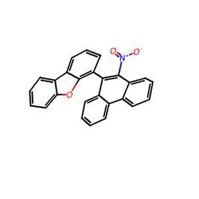 O=[N+]([O-])c1c(-c2cccc3c2oc2ccccc23)c2ccccc2c2ccccc12